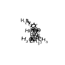 BCC[C@@H]1CC[C@@H](CNC(=O)[C@H](CCC)NC(=O)OC(C)(C)C)[C@@H](C(=O)O)C1